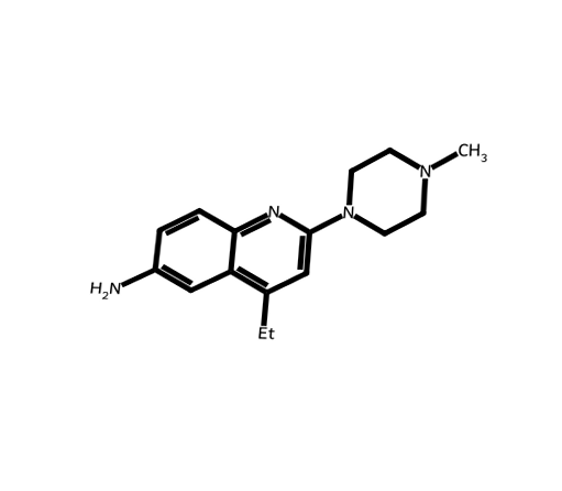 CCc1cc(N2CCN(C)CC2)nc2ccc(N)cc12